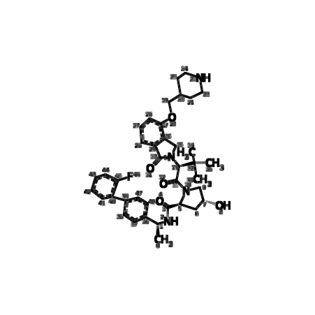 C[C@H](NC(=O)[C@@H]1C[C@@H](O)CN1C(=O)[C@@H](N1Cc2c(OCC3CCNCC3)cccc2C1=O)C(C)(C)C)c1ccc(-c2ccccc2F)cc1